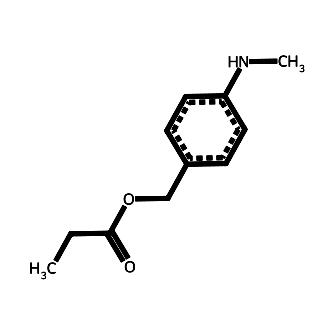 CCC(=O)OCc1ccc(NC)cc1